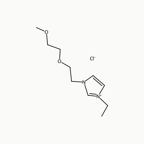 CC[n+]1ccn(CCOCCOC)c1.[Cl-]